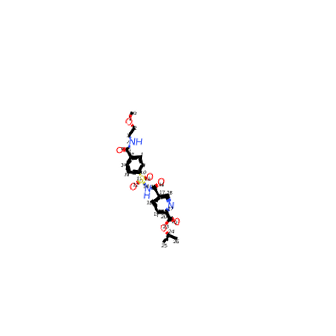 COCCNC(=O)c1ccc(S(=O)(=O)NC(=O)c2ccc(C(=O)OC(C)C)nc2)cc1